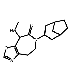 CNC1C(=O)N(C2CC3CCC(C3)C2)CCc2ncoc21